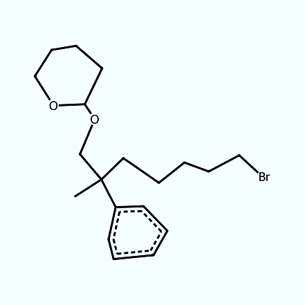 CC(CCCCCBr)(COC1CCCCO1)c1ccccc1